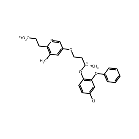 CCOC(=O)CCc1ncc(OCC[C@H](C)Oc2ccc(Cl)cc2Oc2ccccc2)cc1C